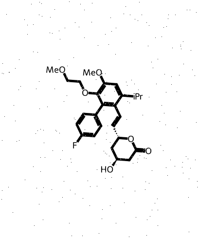 COCCOc1c(OC)cc(C(C)C)c(C=C[C@H]2C[C@H](O)CC(=O)O2)c1-c1ccc(F)cc1